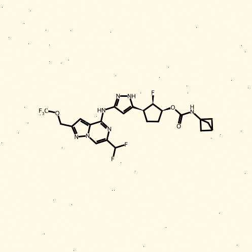 O=C(NC12CC(C1)C2)O[C@H]1CC[C@@H](c2cc(Nc3nc(C(F)F)cn4nc(COC(F)(F)F)cc34)n[nH]2)[C@H]1F